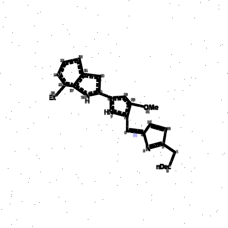 CCCCCCCCCCCC1=N/C(=C/c2[nH]c(-c3cc4cccc(CC)c4[nH]3)cc2OC)C=C1